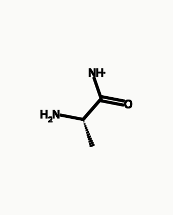 C[C@H](N)C([NH])=O